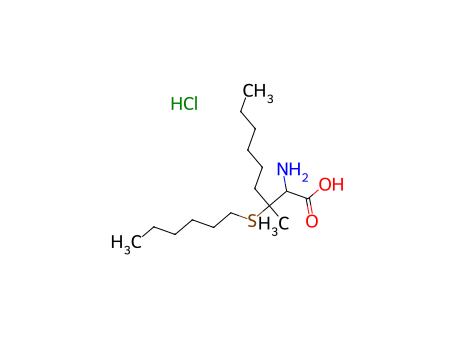 CCCCCCSC(C)(CCCCCC)C(N)C(=O)O.Cl